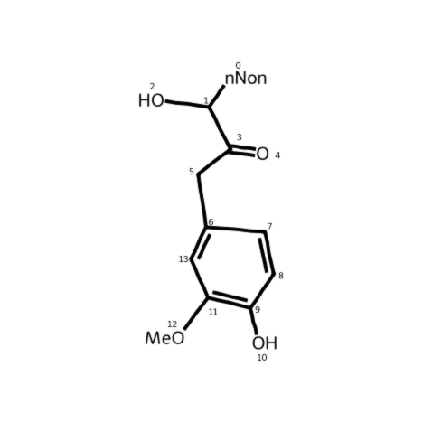 CCCCCCCCCC(O)C(=O)Cc1ccc(O)c(OC)c1